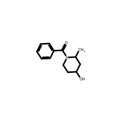 CC1CC(O)CCN1C(=O)c1ccccc1